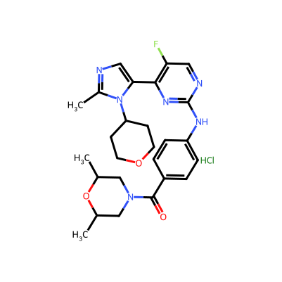 Cc1ncc(-c2nc(Nc3ccc(C(=O)N4CC(C)OC(C)C4)cc3)ncc2F)n1C1CCOCC1.Cl